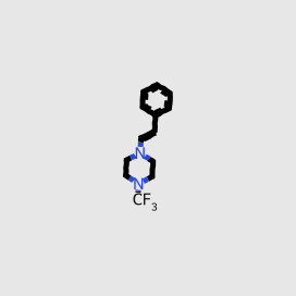 FC(F)(F)N1CCN(C=Cc2ccccc2)CC1